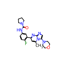 Cc1cc(-c2cc(NC(=O)N3CCCC3)ccc2F)nc2ncc(N3CCOCC3)n12